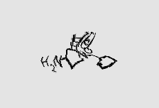 Cl.Cl.NC1CCN(Cc2ccccc2)CC1.O